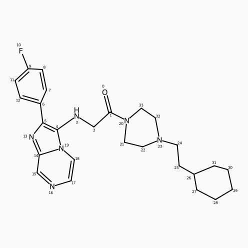 O=C(CNc1c(-c2ccc(F)cc2)nc2cnccn12)N1CCN(CCC2CCCCC2)CC1